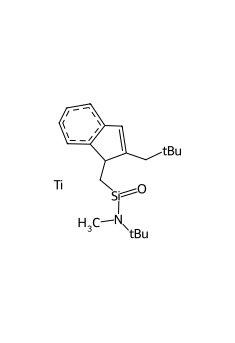 CN([Si](=O)CC1C(CC(C)(C)C)=Cc2ccccc21)C(C)(C)C.[Ti]